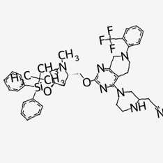 CN1C[C@H](O[Si](c2ccccc2)(c2ccccc2)C(C)(C)C)C[C@H]1COc1nc2c(c(N3CCNC(CC#N)C3)n1)CCN(c1ccccc1C(F)(F)F)C2